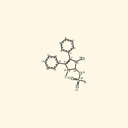 CCN1C(c2ccccc2)=C(c2ccccc2)N(C)C1OS(C)(=O)=O